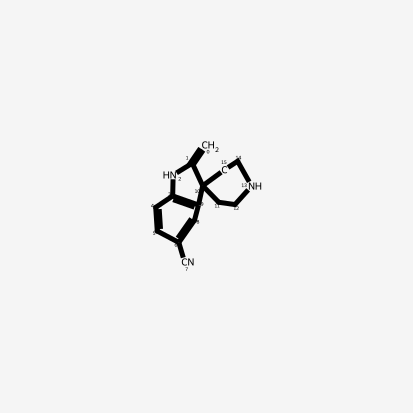 C=C1Nc2ccc(C#N)cc2C12CCNCC2